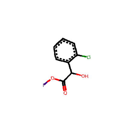 O=C(OI)C(O)c1ccccc1Cl